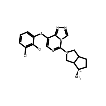 N[C@@H]1CCC2CN(c3ncc(Sc4cccc(Cl)c4Cl)c4nncn34)CC21